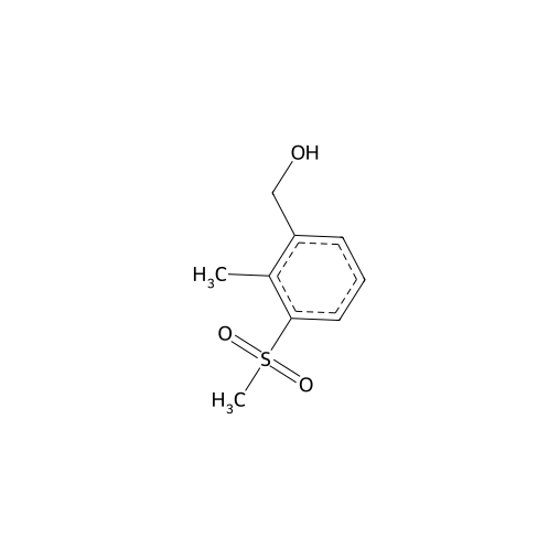 Cc1c(CO)cccc1S(C)(=O)=O